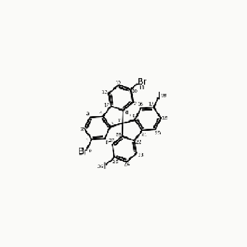 Brc1ccc2c(c1)C1(c3cc(Br)ccc3-2)c2cc(I)ccc2-c2ccc(I)cc21